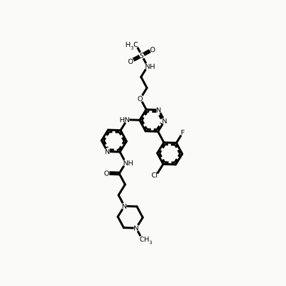 CN1CCN(CCC(=O)Nc2cc(Nc3cc(-c4cc(Cl)ccc4F)nnc3OCCNS(C)(=O)=O)ccn2)CC1